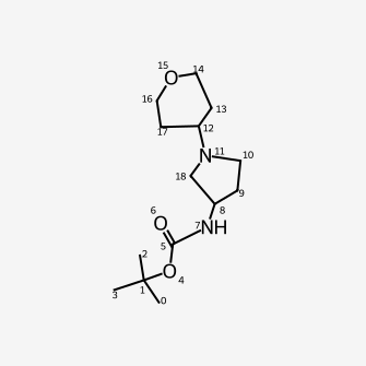 CC(C)(C)OC(=O)NC1CCN(C2CCOCC2)C1